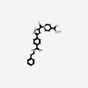 N=C(NCCc1ccccc1)c1ccc(C2=NOC(C(=O)N3CCC(C(=O)C(=O)O)CC3)C2)cc1